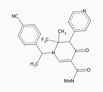 CNC(=O)C1=CN(C(C)c2ccc(C#N)cc2)C(C)(C(F)(F)F)C(c2ccncc2)C1=O